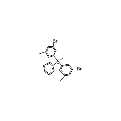 Cc1cc(Br)cc(S(C)(c2ccccc2)c2cc(C)cc(Br)c2)c1